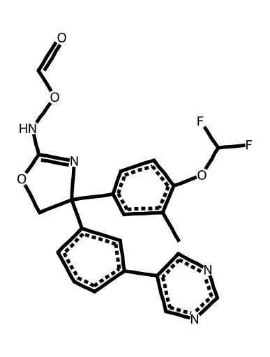 Cc1cc(C2(c3cccc(-c4cncnc4)c3)COC(NOC=O)=N2)ccc1OC(F)F